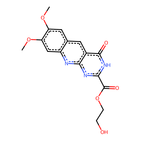 COc1cc2cc3c(=O)[nH]c(C(=O)OCCO)nc3nc2cc1OC